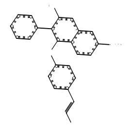 COc1ccc2c(Oc3ccc(C=CC(=O)O)cc3)c(-c3ccccc3)c(C(C)C)cc2c1